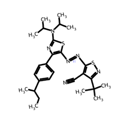 CCC(C)c1ccc(-c2nc(N(C(C)C)C(C)C)sc2/N=N/c2snc(C(C)(C)C)c2C#N)cc1